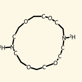 [2H]N1CCOCCOCCN([2H])CCOCCOCC1